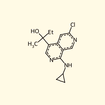 CCC(C)(O)c1cnc(NC2CC2)c2cnc(Cl)cc12